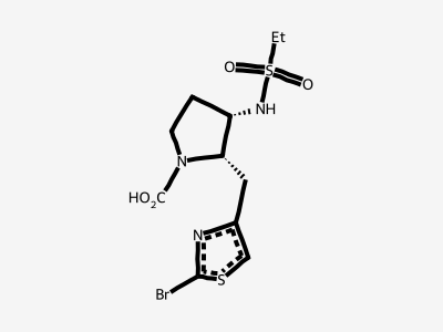 CCS(=O)(=O)N[C@H]1CCN(C(=O)O)[C@H]1Cc1csc(Br)n1